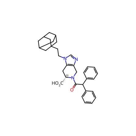 O=C(O)[C@@H]1Cc2c(ncn2CCC23CC4CC(CC(C4)C2)C3)CN1C(=O)C(c1ccccc1)c1ccccc1